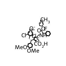 COc1ccc([C@H](Cc2c(Cl)c[n+]([O-])cc2Cl)c2cc(CNC(C(=O)O[C@@H]3CCN(C)C3)c3ccccc3F)sc2C(=O)O)cc1OC